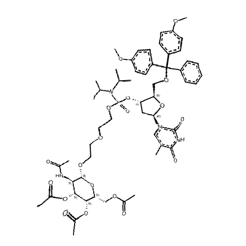 COc1ccc(C(OC[C@H]2O[C@@H](n3cc(C)c(=O)[nH]c3=O)C[C@@H]2OP(=O)(OCCOCCO[C@@H]2O[C@H](COC(C)=O)[C@H](OC(C)=O)[C@H](OC(C)=O)[C@H]2NC(C)=O)N(C(C)C)C(C)C)(c2ccccc2)c2ccc(OC)cc2)cc1